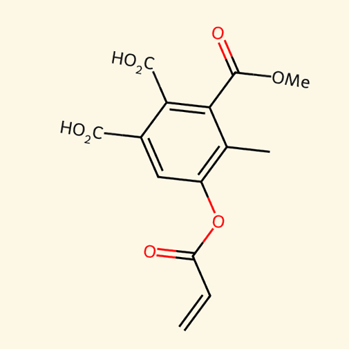 C=CC(=O)Oc1cc(C(=O)O)c(C(=O)O)c(C(=O)OC)c1C